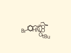 C=C1CC[C@@H]([C@H](Cc2ccc(Br)cc2)NC(=O)OC(C)(C)C)O1